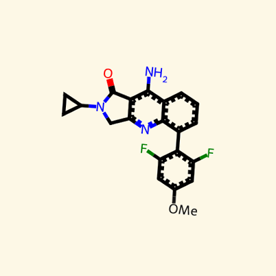 COc1cc(F)c(-c2cccc3c(N)c4c(nc23)CN(C2CC2)C4=O)c(F)c1